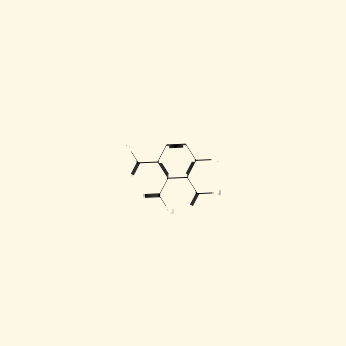 NC(=O)c1ccc(S)c(C(N)=O)c1C(N)=O.[Zn]